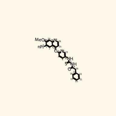 CCCc1cc2c(Oc3ccc(NC(=S)NC(=O)Cc4ccccc4)cn3)ccnc2cc1OC